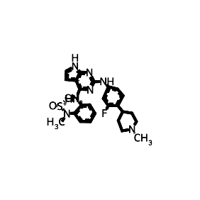 CN1CCC(c2ccc(Nc3nc(Nc4ccccc4N(C)[S+](C)[O-])c4cc[nH]c4n3)cc2F)CC1